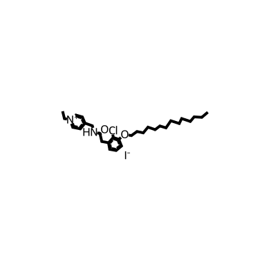 CCCCCCCCCCCCCCOc1cccc(CC(=O)NCc2cc[n+](CC)cc2)c1Cl.[I-]